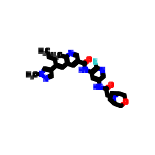 CCC/C(=C\c1cc(C(=O)Nc2cc(NC(=O)CN3C4CCC3COC4)cnc2F)cnc1C)c1cnn(C)c1